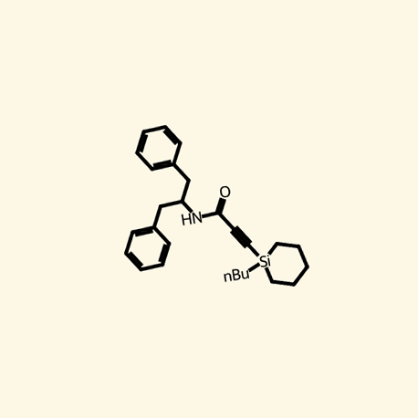 CCCC[Si]1(C#CC(=O)NC(Cc2ccccc2)Cc2ccccc2)CCCCC1